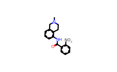 CN1CCc2c(cccc2NC(=O)c2ccccc2[N+](=O)[O-])C1